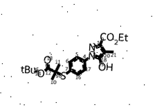 CCOC(=O)c1nn(-c2ccc(SC(C)(C)C(=O)OC(C)(C)C)cc2)c(O)c1C